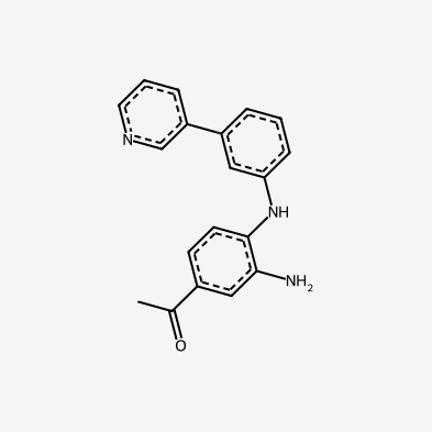 CC(=O)c1ccc(Nc2cccc(-c3cccnc3)c2)c(N)c1